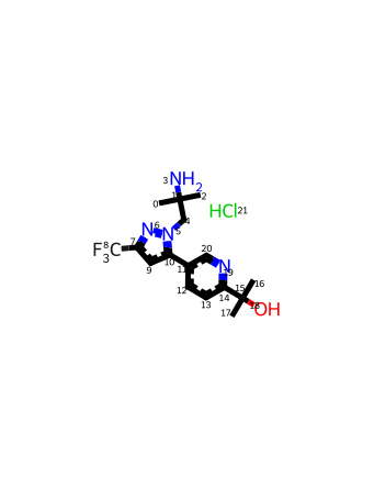 CC(C)(N)Cn1nc(C(F)(F)F)cc1-c1ccc(C(C)(C)O)nc1.Cl